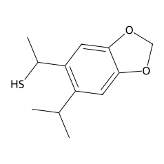 CC(C)c1cc2c(cc1C(C)S)OCO2